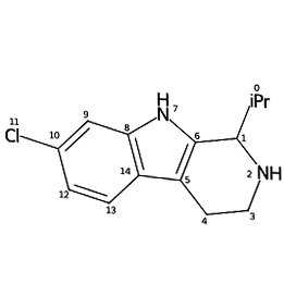 CC(C)C1NCCc2c1[nH]c1cc(Cl)ccc21